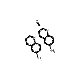 C=O.Nc1ccc2ncccc2c1.Nc1ccc2ncccc2c1